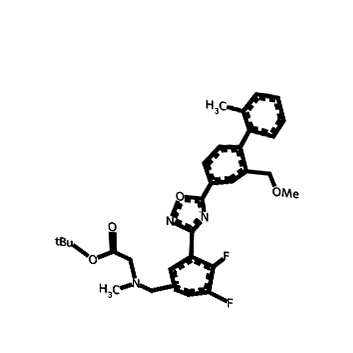 COCc1cc(-c2nc(-c3cc(CN(C)CC(=O)OC(C)(C)C)cc(F)c3F)no2)ccc1-c1ccccc1C